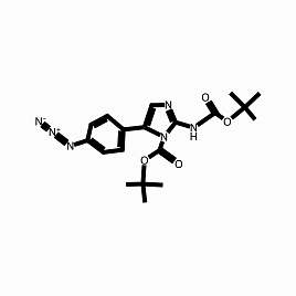 CC(C)(C)OC(=O)Nc1ncc(-c2ccc(N=[N+]=[N-])cc2)n1C(=O)OC(C)(C)C